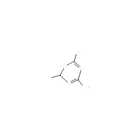 COC1=NC(Cl)NC(C)=N1